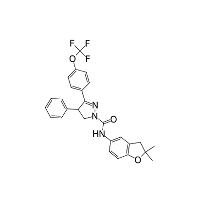 CC1(C)Cc2cc(NC(=O)N3CC(c4ccccc4)C(c4ccc(OC(F)(F)F)cc4)=N3)ccc2O1